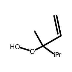 C=CC(C)(OO)C(C)C